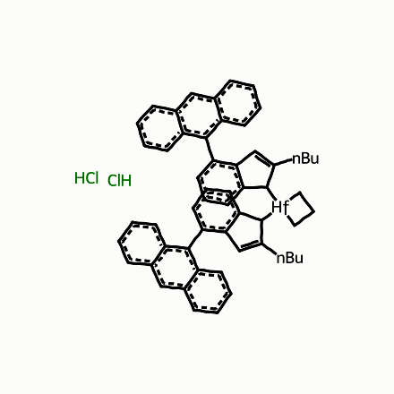 CCCCC1=Cc2c(-c3c4ccccc4cc4ccccc34)cccc2[CH]1[Hf]1([CH]2C(CCCC)=Cc3c(-c4c5ccccc5cc5ccccc45)cccc32)[CH2]C[CH2]1.Cl.Cl